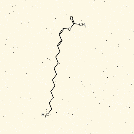 CCCCCCCCCCCC/C=C/C=C\OC(C)=O